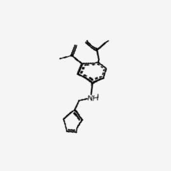 C=C(C)c1ccc(NCC2=CC=CC2)cc1C(=C)C